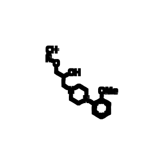 [CH]=NOCC(O)CN1CCN(c2ccccc2OC)CC1